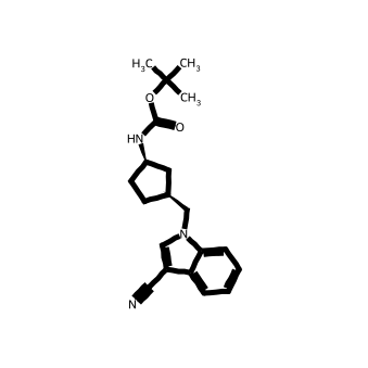 CC(C)(C)OC(=O)N[C@@H]1CC[C@H](Cn2cc(C#N)c3ccccc32)C1